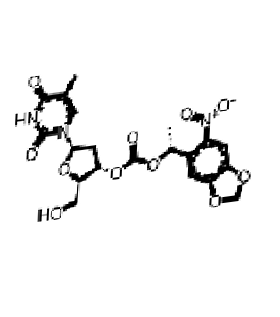 Cc1cn([C@H]2C[C@H](OC(=O)O[C@H](C)c3cc4c(cc3[N+](=O)[O-])OCO4)[C@@H](CO)O2)c(=O)[nH]c1=O